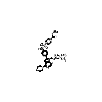 CC(C)(C)OC(=O)N1CCN(S(=O)(=O)Nc2ccc(-c3cc4c(N5CCOCC5)ncnc4n3COCC[Si](C)(C)C)cc2)CC1